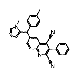 Cc1ccc(C(c2ccc3nc(C#N)c(-c4ccccc4)c(C#N)c3c2)c2cncn2C)cc1